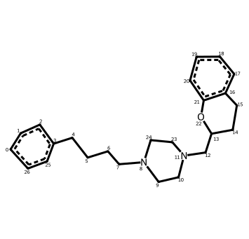 c1ccc(CCCCN2CCN(CC3CCc4ccccc4O3)CC2)cc1